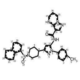 Cc1ccc(-n2nc(C3CCN([S+]([O-])c4cccc5ccccc45)CC3)cc2NC(=O)c2cnn3cccnc23)cc1